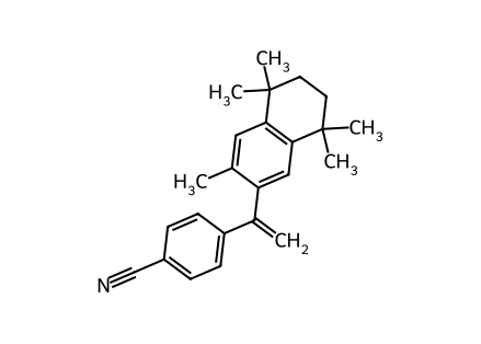 C=C(c1ccc(C#N)cc1)c1cc2c(cc1C)C(C)(C)CCC2(C)C